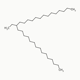 [CH2]CC(CCCCCCCCCCCCCC)CCCCCCCCCCCCCCC